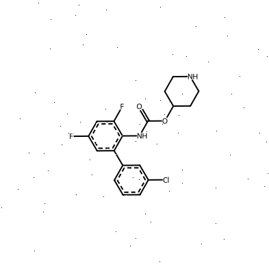 O=C(Nc1c(F)cc(F)cc1-c1cccc(Cl)c1)OC1CCNCC1